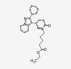 CCOC(=O)CCCCn1nc(-c2c(-c3ccccc3)nn3ccccc23)ccc1=O